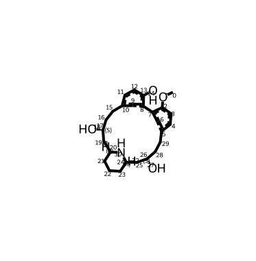 COc1ccc2cc1-c1cc(ccc1O)CC[C@H](O)C[C@H]1CCC[C@H](C[C@@H](O)CC2)N1